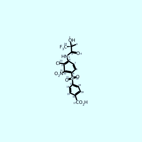 C[C@@](O)(C(=O)Nc1ccc(S(=O)(=O)c2ccc(C(=O)O)cc2)c([N+](=O)[O-])c1Cl)C(F)(F)F